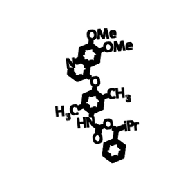 COc1cc2nccc(Oc3cc(C)c(NC(=O)OC(c4ccccc4)C(C)C)cc3C)c2cc1OC